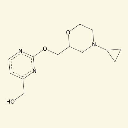 OCc1ccnc(OCC2CN(C3CC3)CCO2)n1